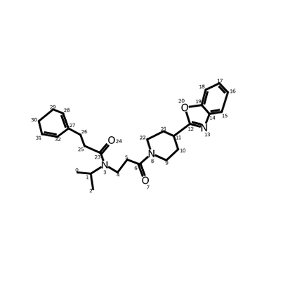 CC(C)N(CCC(=O)N1CCC(c2nc3ccccc3o2)CC1)C(=O)CCC1=CCCC=C1